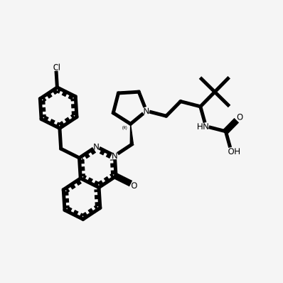 CC(C)(C)C(CCN1CCC[C@@H]1Cn1nc(Cc2ccc(Cl)cc2)c2ccccc2c1=O)NC(=O)O